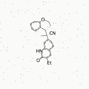 CCc1cc2ccc([C@](C)(C#N)[C@H]3CCOc4ccccc43)cc2[nH]c1=O